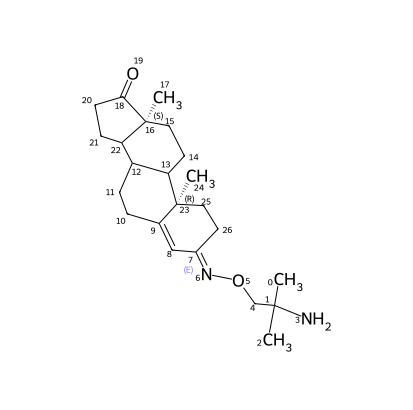 CC(C)(N)CO/N=C1/C=C2CCC3C(CC[C@]4(C)C(=O)CCC34)[C@@]2(C)CC1